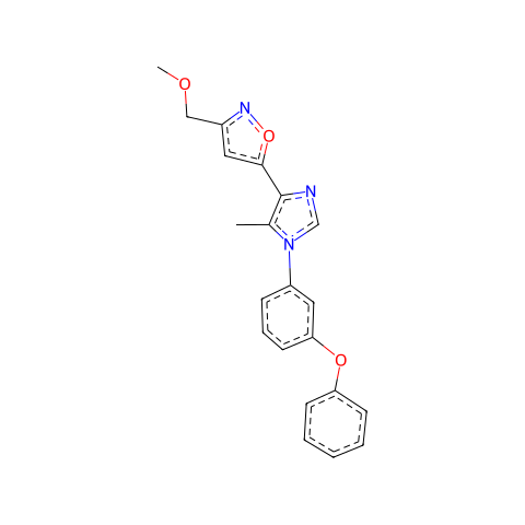 COCc1cc(-c2ncn(-c3cccc(Oc4ccccc4)c3)c2C)on1